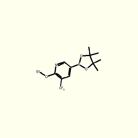 CCOc1ncc(B2OC(C)(C)C(C)(C)O2)cc1C(F)(F)F